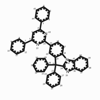 c1ccc(-c2cc(-c3ccccc3)nc(-c3ccc4c(c3)C(c3ccccc3)(c3ccccc3)c3nc5ccccc5n3-4)n2)cc1